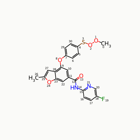 COOSc1ccc(Oc2cc(C(=O)Nc3ccc(F)cn3)cc3oc(C)cc23)cc1